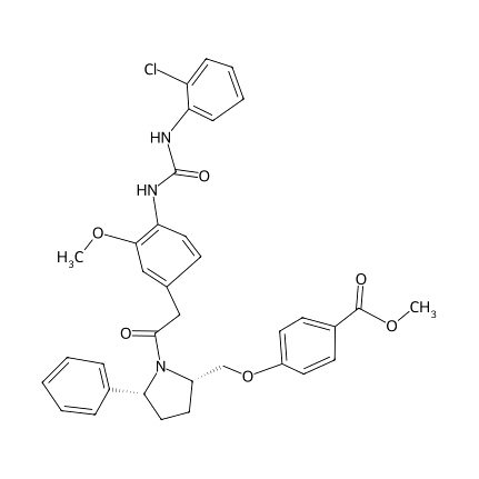 COC(=O)c1ccc(OC[C@@H]2CC[C@H](c3ccccc3)N2C(=O)Cc2ccc(NC(=O)Nc3ccccc3Cl)c(OC)c2)cc1